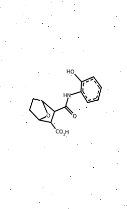 O=C(O)C1C2CCC(O2)C1C(=O)Nc1ccccc1O